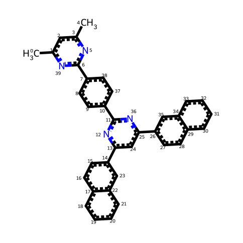 Cc1cc(C)nc(-c2ccc(-c3nc(-c4ccc5ccccc5c4)cc(-c4ccc5ccccc5c4)n3)cc2)n1